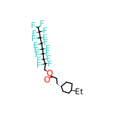 CC[C@H]1CC[C@H](CCC(=O)OCC(F)(F)C(F)(F)C(F)(F)C(F)(F)C(F)(F)C(F)(F)C(F)(F)C(F)F)CC1